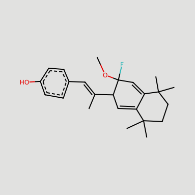 COC1(F)C=C2C(=CC1/C(C)=C/c1ccc(O)cc1)C(C)(C)CCC2(C)C